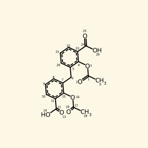 CC(=O)Oc1c(Cc2cccc(C(=O)O)c2OC(C)=O)cccc1C(=O)O